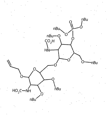 C=CCOC1OC(COC2OC(COCCCC)C(OP(=O)(OCCCC)OCCCC)C(OCCCC)C2NC(=O)O)C(OCCCC)C(OCCCC)C1NC(=O)O